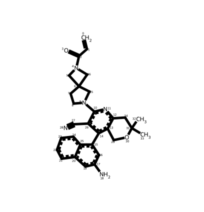 C=CC(=O)N1CC2(CCN(c3nc4c(c(-c5cc(N)cc6ccccc56)c3C#N)COC(C)(C)C4)C2)C1